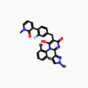 CCc1cccc(CC)c1-n1c(-c2ccn(C(C)C)n2)nc(=O)c(Cc2ccc(-c3cccn(C)c3=O)c(F)c2)c1O